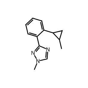 CC1CC1c1ccccc1-c1ncn(C)n1